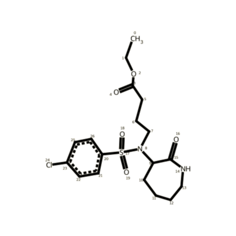 CCOC(=O)CCCN(C1CCCCNC1=O)S(=O)(=O)c1ccc(Cl)cc1